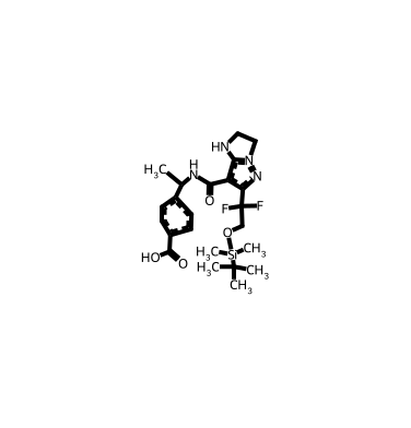 CC(NC(=O)c1c(C(F)(F)CO[Si](C)(C)C(C)(C)C)nn2c1NCC2)c1ccc(C(=O)O)cc1